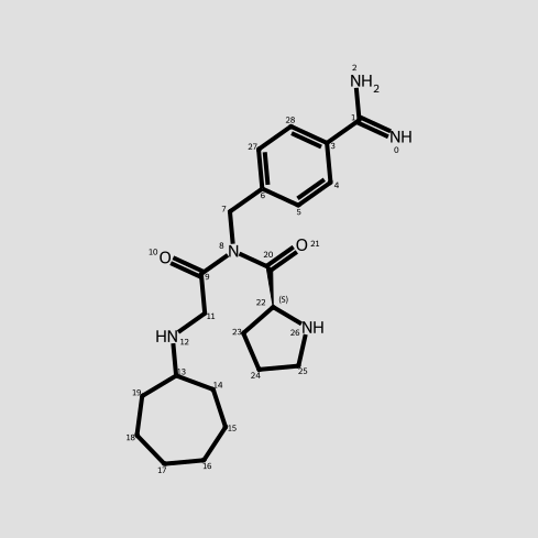 N=C(N)c1ccc(CN(C(=O)CNC2CCCCCC2)C(=O)[C@@H]2CCCN2)cc1